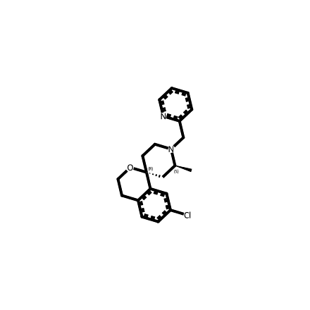 C[C@H]1C[C@@]2(CCN1Cc1ccccn1)OCCc1ccc(Cl)cc12